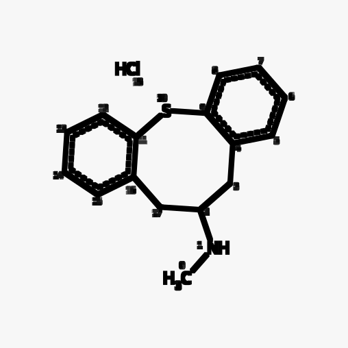 CNC1Cc2ccccc2Sc2ccccc2C1.Cl